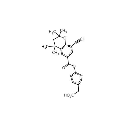 C#Cc1cc(C(=O)Oc2ccc(CC(=O)O)cc2)cc2c1OC(C)(C)CC2(C)C